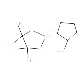 CC1CCC[C@H]1B1OC(C)(C)C(C)(C)O1